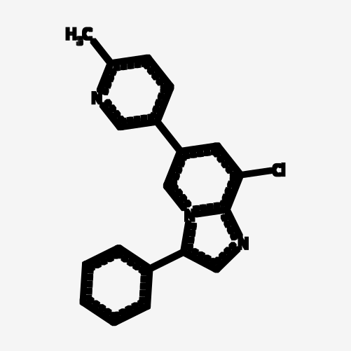 Cc1ccc(-c2cc(Cl)c3ncc(-c4ccccc4)n3c2)cn1